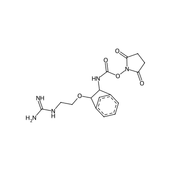 N=C(N)NCCOC1c2cccc(c2)C1NC(=O)ON1C(=O)CCC1=O